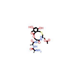 CC(=O)OC[C@@H]1CSCc2c(O)cc(O)c(C)c2C(=O)OC[C@H](NC(=O)[C@H](C)NC(=O)[C@H](C)N)C(=O)N1